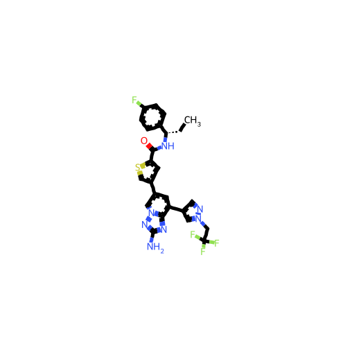 CC[C@H](NC(=O)c1cc(-c2cc(-c3cnn(CC(F)(F)F)c3)c3nc(N)nn3c2)cs1)c1ccc(F)cc1